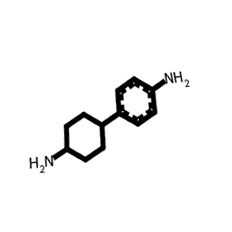 Nc1ccc(C2CCC(N)CC2)cc1